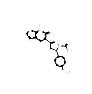 CCC(=O)N1N=C(c2cc3ccsc3[nH]c2=O)CC1c1ccc(OC)cc1